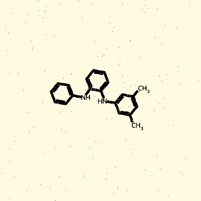 Cc1cc(C)cc(Nc2ccccc2Nc2ccccc2)c1